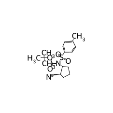 Cc1ccc(S(=O)(=O)N(C(=O)OC(C)(C)C)[C@@H]2CCC[C@H]2C#N)cc1